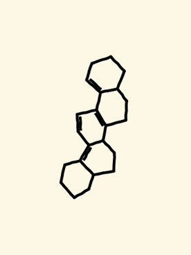 C1=CC2=C3CCCCC3CCC2C2=C1C1=CCCCC1CC2